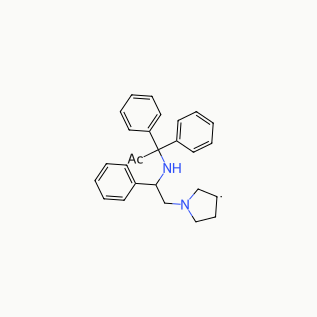 CC(=O)C(NC(CN1C[CH]CC1)c1ccccc1)(c1ccccc1)c1ccccc1